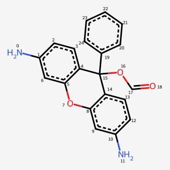 Nc1ccc2c(c1)Oc1cc(N)ccc1C2(OC=O)c1ccccc1